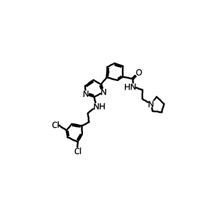 O=C(NCCN1CCCC1)c1cccc(-c2ccnc(NCCc3cc(Cl)cc(Cl)c3)n2)c1